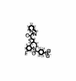 O=C(c1cc2c(s1)-c1ccc(F)cc1N(C(=O)c1ccc([N+](=O)[O-])cc1)CC2)c1ncc2ccccn12